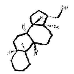 CC(=O)[C@]12CC[C@H]3[C@@H](CC[C@H]4CCCC[C@@]43C)[C@@H]1CC[C@@H]2CO